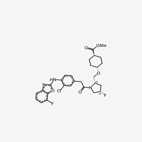 COC(=O)[C@H]1CC[C@H](OC[C@@H]2C[C@H](F)CN2C(=O)Cc2ccc(Nc3nc4cccc(F)c4o3)c(Cl)c2)CC1